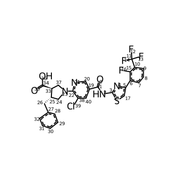 O=C(Nc1nc(-c2cccc(C(F)(F)F)c2F)cs1)c1cnc(N2C[C@H](Cc3ccccc3)[C@@H](C(=O)O)C2)c(Cl)c1